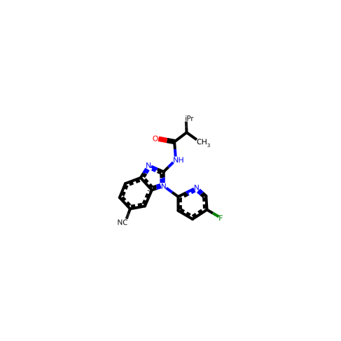 CC(C)C(C)C(=O)Nc1nc2ccc(C#N)cc2n1-c1ccc(F)cn1